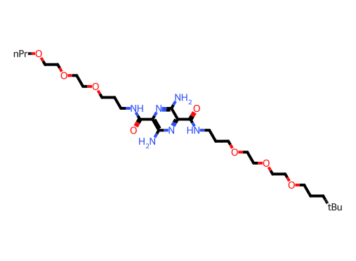 CCCOCCOCCOCCCNC(=O)c1nc(N)c(C(=O)NCCCOCCOCCOCCCC(C)(C)C)nc1N